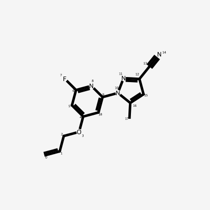 C=CCOc1cc(F)nc(-n2nc(C#N)cc2C)c1